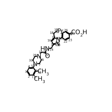 Cc1cccc(N2CCN(CC(=O)NCc3cc(CC(C)C)n(-c4ccc(C(=O)O)cc4)n3)CC2)c1C